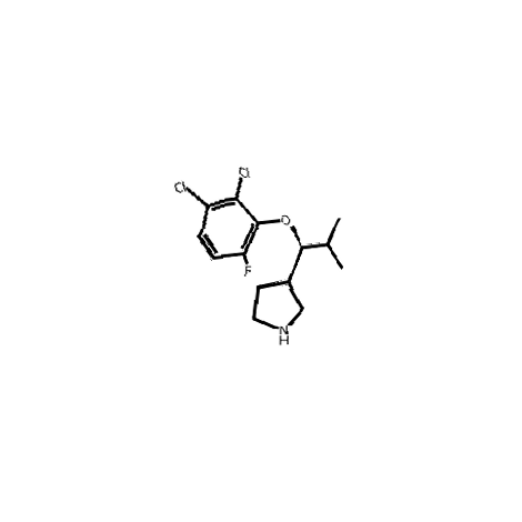 CC(C)[C@H](Oc1c(F)ccc(Cl)c1Cl)C1CCNC1